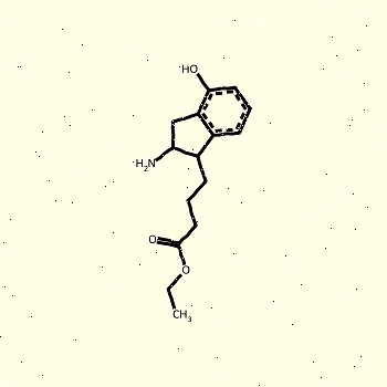 CCOC(=O)CCCC1c2cccc(O)c2CC1N